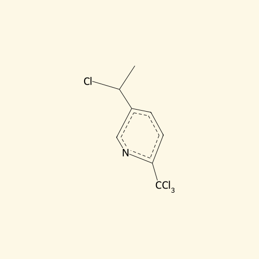 CC(Cl)c1ccc(C(Cl)(Cl)Cl)nc1